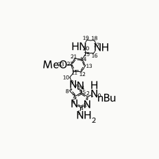 CCCCNc1nc(N)nc2cn(Cc3ccc(C4CNCCN4)cc3OC)nc12